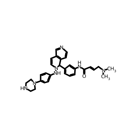 CN(C)C/C=C/C(=O)Nc1cccc(C2c3ccncc3C=CN2Nc2ccc(N3CCNCC3)cc2)c1